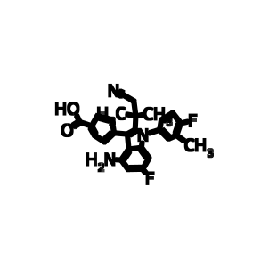 Cc1cc(-n2c(C(C)(C)CC#N)c(-c3ccc(C(=O)O)cc3)c3c(N)cc(F)cc32)ccc1F